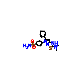 CN(C)C(=S)Nc1cc(-c2ccccc2)n(-c2ccc(S(N)(=O)=O)cc2)n1